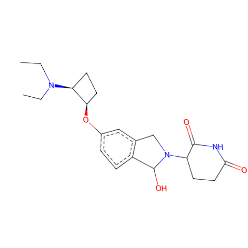 CCN(CC)[C@H]1CC[C@H]1Oc1ccc2c(c1)CN(C1CCC(=O)NC1=O)C2O